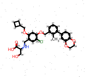 Cc1c(COc2cc(OCC3CCC3)c(CNC(CO)C(=O)O)cc2Cl)cccc1-c1ccc2c(c1)OCCO2